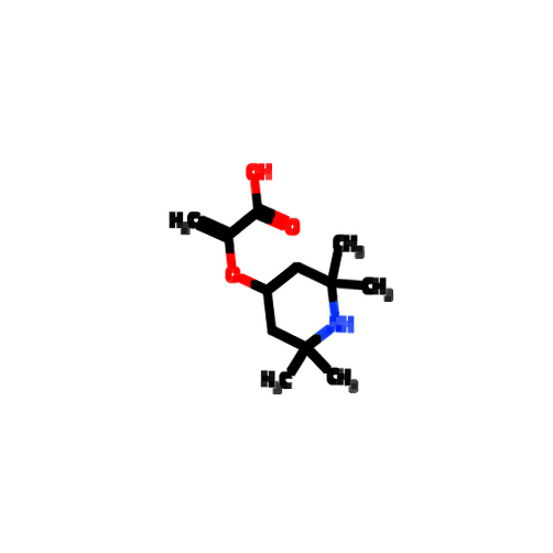 C=C(OC1CC(C)(C)NC(C)(C)C1)C(=O)O